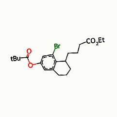 CCOC(=O)CCCC1CCCc2cc(OC(=O)C(C)(C)C)cc(Br)c21